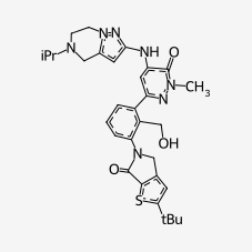 CC(C)N1CCn2nc(Nc3cc(-c4cccc(N5Cc6cc(C(C)(C)C)sc6C5=O)c4CO)nn(C)c3=O)cc2C1